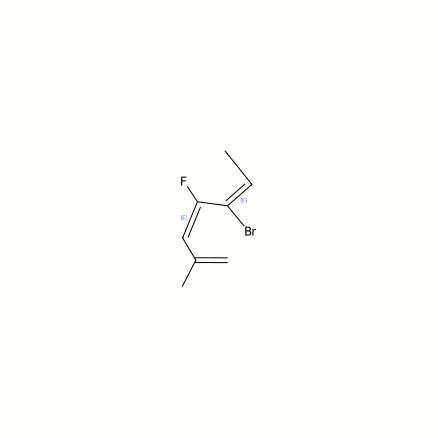 C=C(C)/C=C(F)\C(Br)=C/C